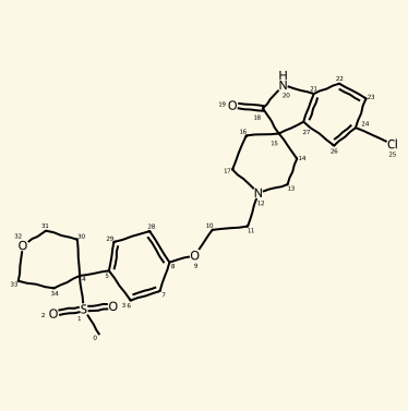 CS(=O)(=O)C1(c2ccc(OCCN3CCC4(CC3)C(=O)Nc3ccc(Cl)cc34)cc2)CCOCC1